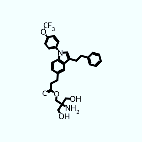 NC(CO)(CO)COC(=O)CCc1ccc2c(c1)c(CCc1ccccc1)cn2-c1ccc(OC(F)(F)F)cc1